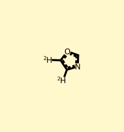 [2H]c1ncoc1[2H]